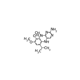 COc1cc(Nc2cnc(N)nc2N)c(C(C)C)cc1OC